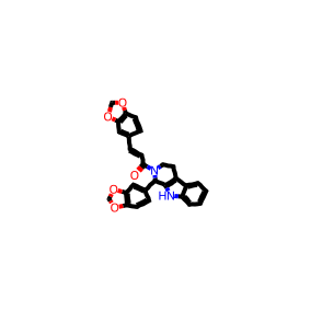 O=C(/C=C/c1ccc2c(c1)OCO2)N1CCc2c([nH]c3ccccc23)C1c1ccc2c(c1)OCO2